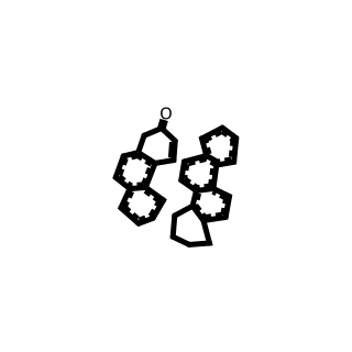 O=C1C=Cc2c(ccc3ccccc23)C1.c1ccc2c(c1)ccc1c3c(ccc12)CCCC3